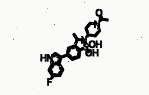 CC(=O)N1CCC(N2C(C)c3cc(-c4c[nH]c5cc(F)ccc45)ccc3S2(O)O)CC1